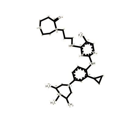 CC1CN(c2ccc(Nc3ncc(C(F)(F)F)c(NCCCN4CCOCCC4=O)n3)c(C3CC3)c2)CC(C)N1C